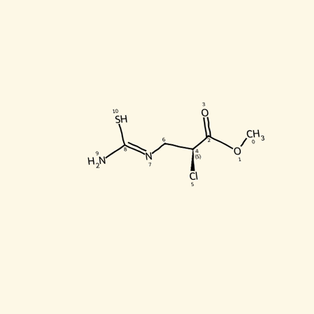 COC(=O)[C@@H](Cl)CN=C(N)S